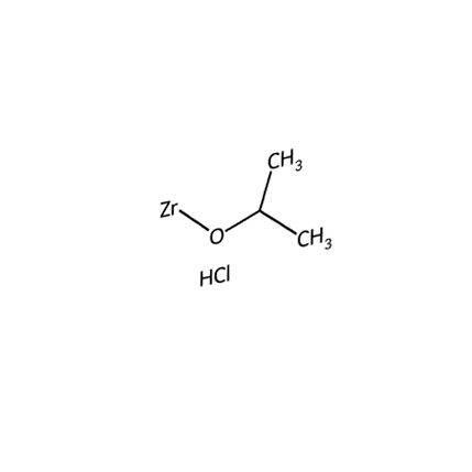 CC(C)[O][Zr].Cl